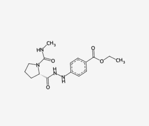 CCOC(=O)c1ccc(NNC(=O)[C@@H]2CCCN2C(=O)NC)cc1